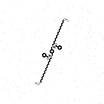 CCCCCCCCCCCCCCCCCCN(Cc1ccc(CN(CCCCCCCCCCCCCCCCCC)OC(=O)c2ccccc2)cc1)OC(=O)c1ccccc1